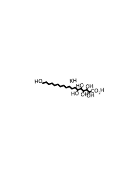 O=C(O)C(O)C(O)C(O)C(O)C(O)CCCCCCCCCCCCO.[KH]